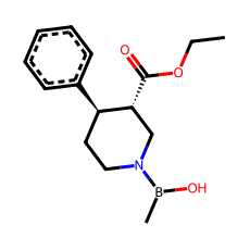 CCOC(=O)[C@@H]1CN(B(C)O)CC[C@H]1c1ccccc1